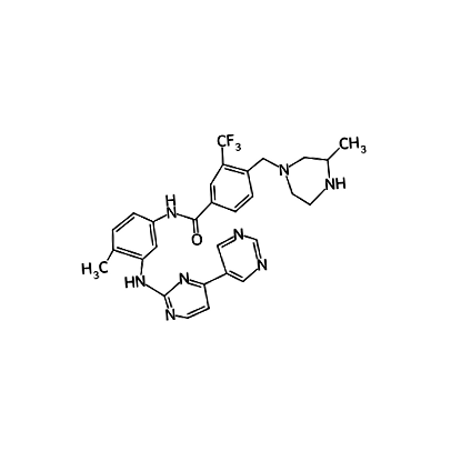 Cc1ccc(NC(=O)c2ccc(CN3CCNC(C)C3)c(C(F)(F)F)c2)cc1Nc1nccc(-c2cncnc2)n1